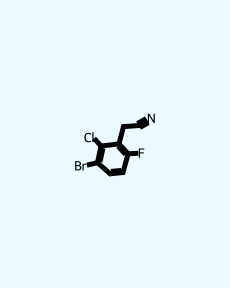 N#CCc1c(F)ccc(Br)c1Cl